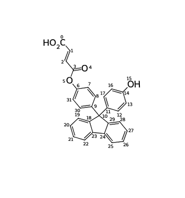 O=C(O)C=CC(=O)Oc1ccc(C2(c3ccc(O)cc3)c3ccccc3-c3ccccc32)cc1